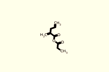 C=CCC(=C)C(=O)OC(=O)CC